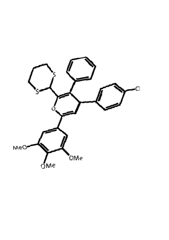 COc1cc(C2=CC(c3ccc(Cl)cc3)C(c3ccccc3)=C(C3SCCCS3)O2)cc(OC)c1OC